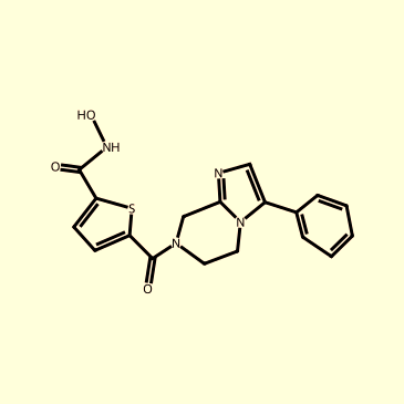 O=C(NO)c1ccc(C(=O)N2CCn3c(-c4ccccc4)cnc3C2)s1